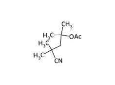 CC(=O)OC(C)(C)CC(C)(C)C#N